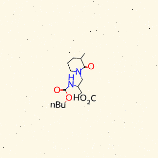 CCCCOC(=O)NC(CC(=O)O)CN1CCCC(C)C1=O